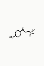 CC(C)(C)C1CCC(NCCS(C)(=O)=O)CC1